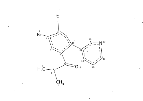 CN(C)C(=O)c1cc(Br)c(F)cc1-c1cccnn1